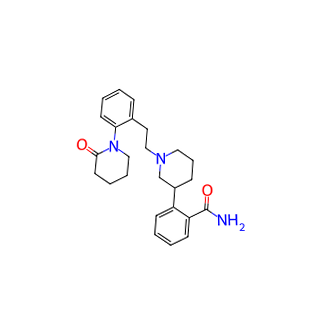 NC(=O)c1ccccc1C1CCCN(CCc2ccccc2N2CCCCC2=O)C1